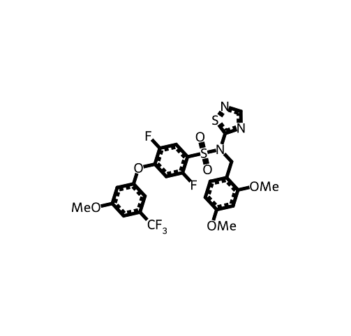 COc1cc(Oc2cc(F)c(S(=O)(=O)N(Cc3ccc(OC)cc3OC)c3ncns3)cc2F)cc(C(F)(F)F)c1